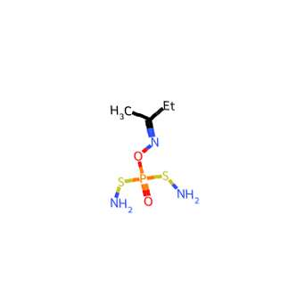 CCC(C)=NOP(=O)(SN)SN